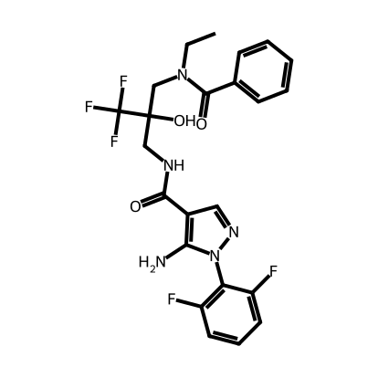 CCN(CC(O)(CNC(=O)c1cnn(-c2c(F)cccc2F)c1N)C(F)(F)F)C(=O)c1ccccc1